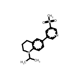 CC(C)N1CCCc2cc(-c3cncc(S(C)(=O)=O)c3)ccc21